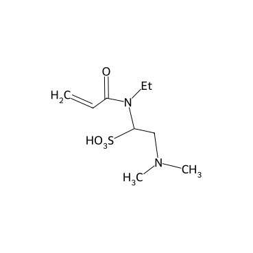 C=CC(=O)N(CC)C(CN(C)C)S(=O)(=O)O